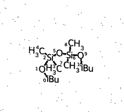 CCC(C)O[Si](C)(C)O[Si](C)(C)OC(C)CC